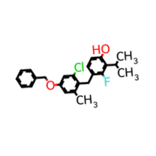 Cc1cc(OCc2ccccc2)cc(Cl)c1Cc1ccc(O)c(C(C)C)c1F